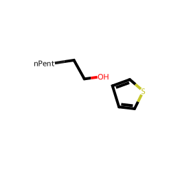 CCCCCCCO.c1ccsc1